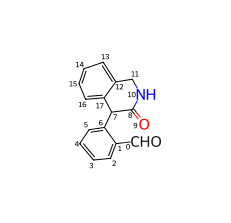 O=Cc1ccccc1C1C(=O)NCc2ccccc21